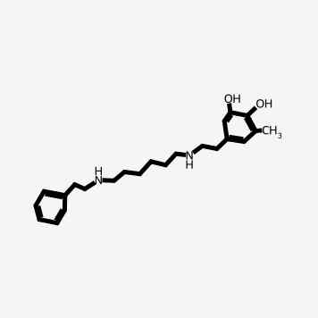 Cc1cc(CCNCCCCCCNCCc2ccccc2)cc(O)c1O